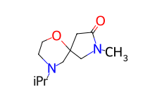 CC(C)N1CCOC2(CC(=O)N(C)C2)C1